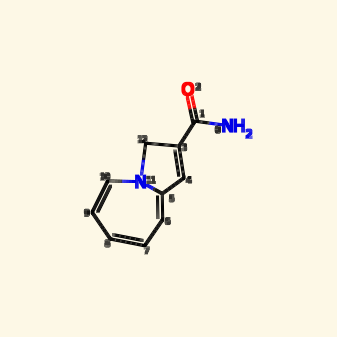 NC(=O)C1=CC2=CC=CC=CN2C1